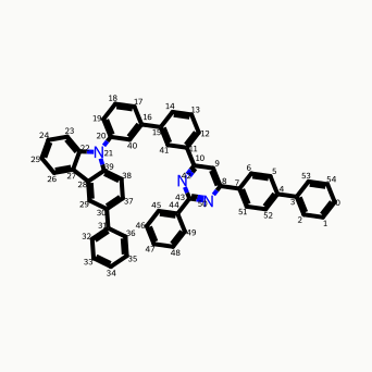 c1ccc(-c2ccc(-c3cc(-c4cccc(-c5cccc(-n6c7ccccc7c7cc(-c8ccccc8)ccc76)c5)c4)nc(-c4ccccc4)n3)cc2)cc1